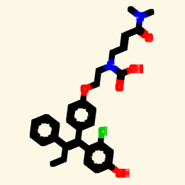 CCC(=C(c1ccc(OCCN(CC=CC(=O)N(C)C)C(=O)O)cc1)c1ccc(O)cc1Cl)c1ccccc1